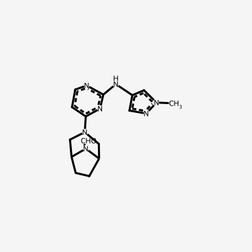 Cn1cc(Nc2nccc(N3CC4CCC(C3)N4C=O)n2)cn1